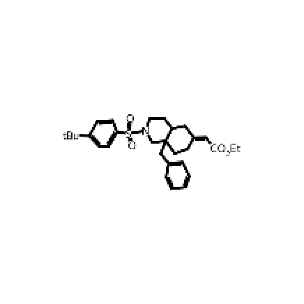 CCOC(=O)C=C1CCC2(Cc3ccccc3)CN(S(=O)(=O)c3ccc(C(C)(C)C)cc3)CCC2C1